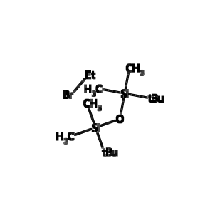 CC(C)(C)[Si](C)(C)O[Si](C)(C)C(C)(C)C.CCBr